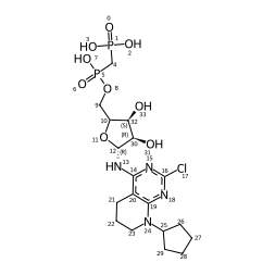 O=P(O)(O)CP(=O)(O)OCC1O[C@@H](Nc2nc(Cl)nc3c2CCCN3C2CCCC2)[C@H](O)[C@@H]1O